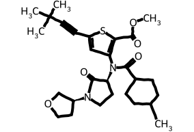 COC(=O)c1sc(C#CC(C)(C)C)cc1N(C(=O)C1CCC(C)CC1)[C@H]1CCN([C@H]2CCOC2)C1=O